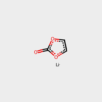 O=c1occo1.[Li]